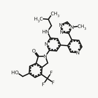 CC(C)CNc1cc(-c2cnccc2-c2nncn2C)cc(N2Cc3c(cc(CO)cc3C(F)(F)F)C2=O)n1